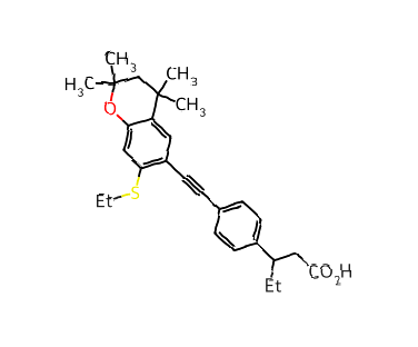 CCSc1cc2c(cc1C#Cc1ccc(C(CC)CC(=O)O)cc1)C(C)(C)CC(C)(C)O2